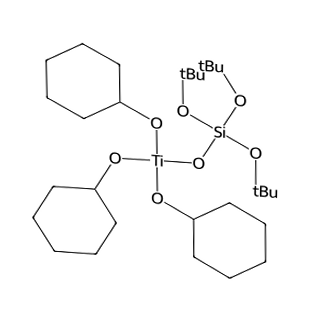 CC(C)(C)O[Si](OC(C)(C)C)(OC(C)(C)C)[O][Ti]([O]C1CCCCC1)([O]C1CCCCC1)[O]C1CCCCC1